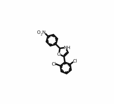 O=[N+]([O-])c1ccc(C2NC=C(c3c(Cl)cccc3Cl)O2)cc1